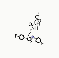 CCOC(=O)CNC(=O)NCCCn1c(-c2ccc(F)cc2)cs/c1=N\c1ccc(F)cc1